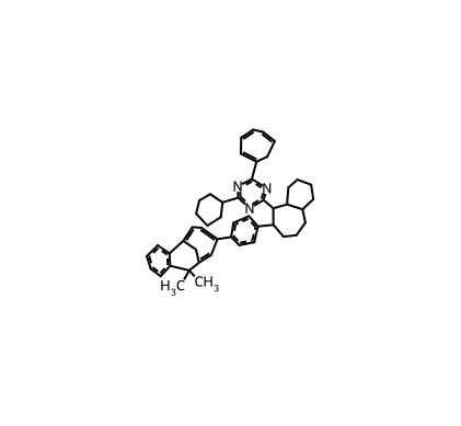 CC1(C)C2=CC(c3ccc(C4CCCC5CCCCC5C4c4nc(C5=CC=CC=CC5)nc(C5CCCCC5)n4)cc3)=CC=C(C2)c2ccccc21